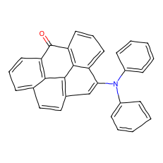 O=C1c2cccc3ccc4cc(N(C5=C=C=CC=C5)c5ccccc5)c5cccc1c5c4c23